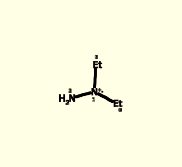 CC[N+](N)CC